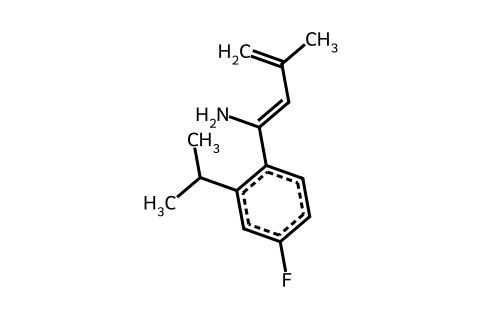 C=C(C)/C=C(\N)c1ccc(F)cc1C(C)C